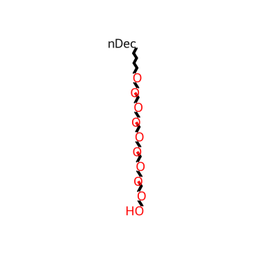 CCCCCCCCCCCCCCCCOCCOCCOCCOCCOCCOCCOCCOCCOCCO